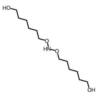 OCCCCCCONOCCCCCCO